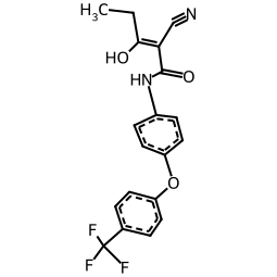 CCC(O)=C(C#N)C(=O)Nc1ccc(Oc2ccc(C(F)(F)F)cc2)cc1